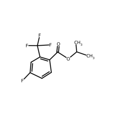 CC(C)OC(=O)c1ccc(F)cc1C(F)(F)F